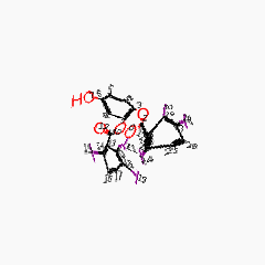 O=C(Oc1ccc(O)cc1OC(=O)c1c(I)ccc(I)c1I)c1c(I)ccc(I)c1I